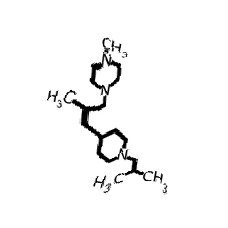 CC(C)CN1CCC(CC(C)CN2CCN(C)CC2)CC1